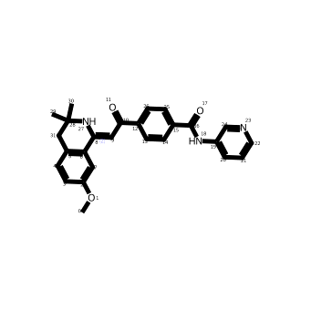 COc1ccc2c(c1)/C(=C/C(=O)c1ccc(C(=O)Nc3cccnc3)cc1)NC(C)(C)C2